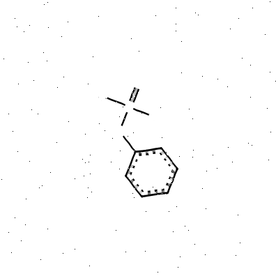 S=P(Cl)(Cl)Sc1ccccc1